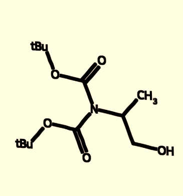 CC(CO)N(C(=O)OC(C)(C)C)C(=O)OC(C)(C)C